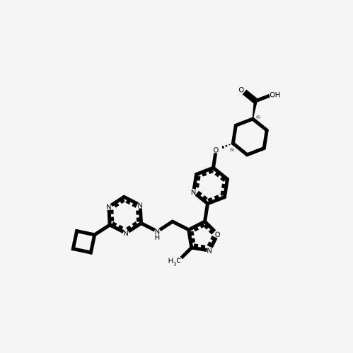 Cc1noc(-c2ccc(O[C@H]3CCC[C@H](C(=O)O)C3)cn2)c1CNc1ncnc(C2CCC2)n1